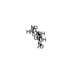 CN(CC(=O)Nc1cccc(-c2n[nH]c3ncn(CC4(O)CCN(C(=O)C5CC5)CC4)c(=O)c23)c1)c1ccccc1